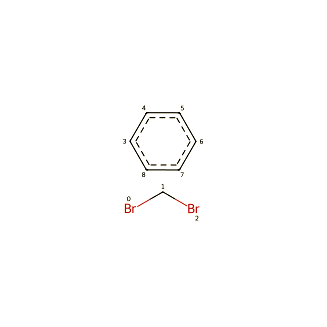 BrCBr.c1ccccc1